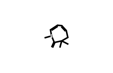 C=C1N(C)/C=C\C=C/CC1(C)C